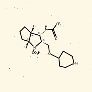 O=C(O)N1[C@@H]2CCC[C@@H]2[C@H](NC(=O)C(F)(F)F)[C@@H]1COC1CCNCC1